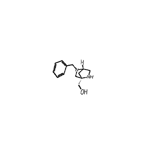 OC[C@]12C[C@@H](CN1)N(Cc1ccccc1)C2